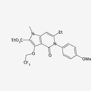 CCOC(=O)c1c(OCC(F)(F)F)c2c(=O)n(-c3ccc(OC)cc3)c(CC)cc2n1C